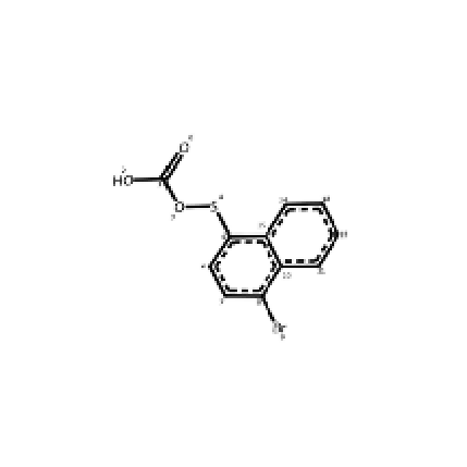 O=C(O)OSc1ccc(Br)c2ccccc12